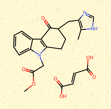 COC(=O)Cn1c2c(c3ccccc31)C(=O)C(Cc1nc[nH]c1C)CC2.O=C(O)C=CC(=O)O